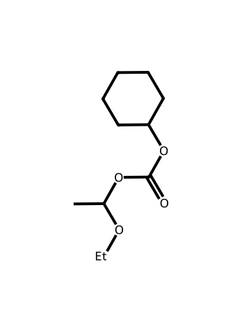 CCOC(C)OC(=O)OC1CCCCC1